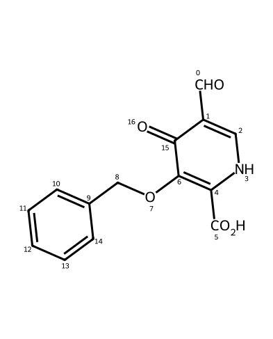 O=Cc1c[nH]c(C(=O)O)c(OCc2ccccc2)c1=O